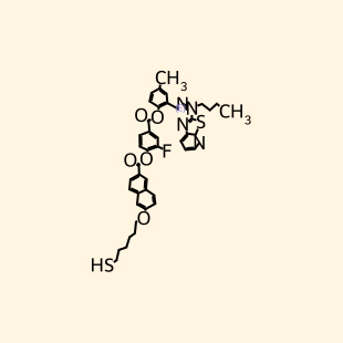 CCCCN(/N=C/c1cc(C)ccc1OC(=O)c1ccc(OC(=O)c2ccc3cc(OCCCCCCS)ccc3c2)c(F)c1)c1nc2cccnc2s1